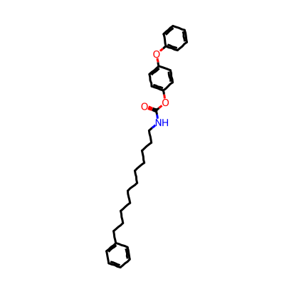 O=C(NCCCCCCCCCCCc1ccccc1)Oc1ccc(Oc2ccccc2)cc1